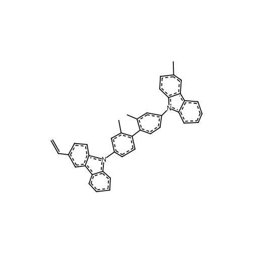 C=Cc1ccc2c(c1)c1ccccc1n2-c1ccc(-c2ccc(-n3c4ccccc4c4cc(C)ccc43)cc2C)c(C)c1